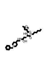 CCCCCCOC(=O)[C@H](CCC(O)NCCC1CCN(Cc2ccccc2)CC1)NC(=O)c1cc(C)on1